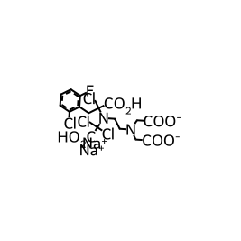 O=C([O-])CN(CCN(C(Cl)(Cl)C(=O)O)C(Cl)(Cc1c(F)cccc1Cl)C(=O)O)CC(=O)[O-].[Na+].[Na+]